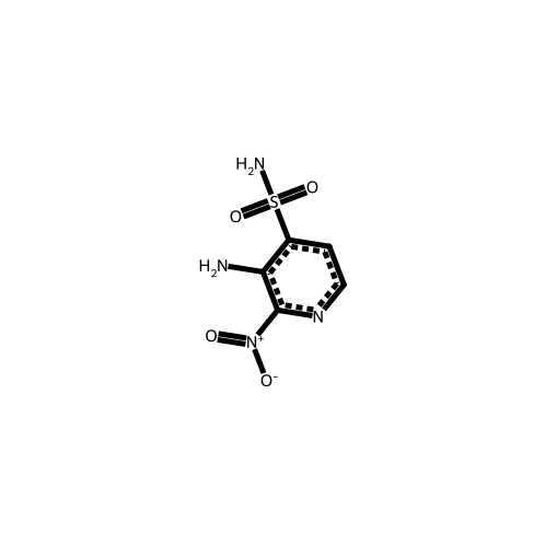 Nc1c(S(N)(=O)=O)ccnc1[N+](=O)[O-]